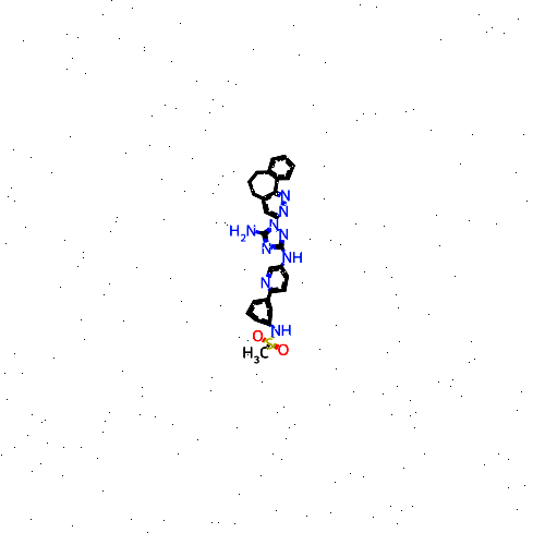 CS(=O)(=O)Nc1cccc(-c2ccc(Nc3nc(N)n(-c4cc5c(nn4)-c4ccccc4CCC5)n3)cn2)c1